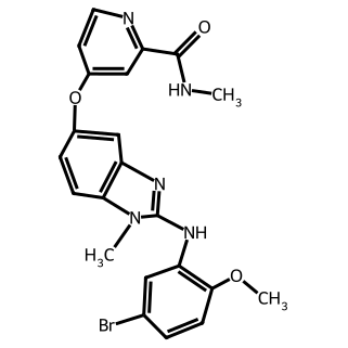 CNC(=O)c1cc(Oc2ccc3c(c2)nc(Nc2cc(Br)ccc2OC)n3C)ccn1